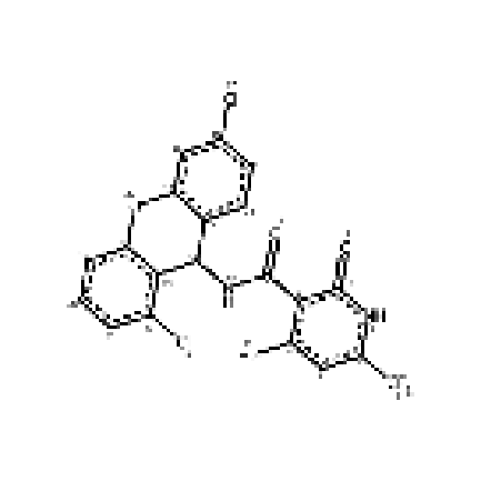 CCc1cc(C(F)(F)F)[nH]c(=O)c1C(=O)NC1c2ccc(Cl)cc2Oc2cccc(Cl)c21